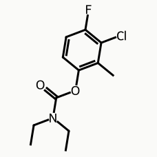 CCN(CC)C(=O)Oc1ccc(F)c(Cl)c1C